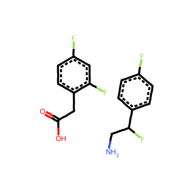 NCC(F)c1ccc(F)cc1.O=C(O)Cc1ccc(F)cc1F